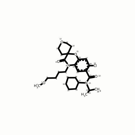 COCCCCN1C(=O)C2(CCOCC2)Oc2cc(Cl)c(C(=O)N(C(C)C)C3CCCCC3)cc21